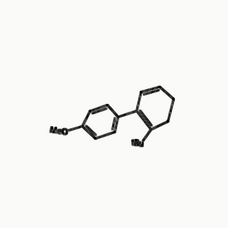 COc1ccc(C2=C(C(C)(C)C)CCC=C2)cc1